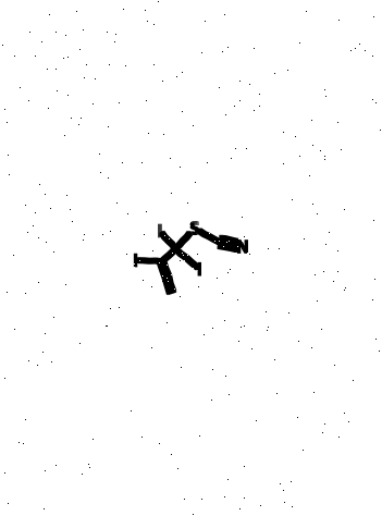 C=C(I)C(I)(I)SC#N